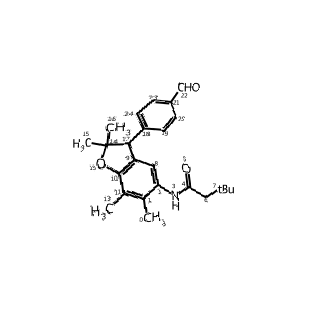 Cc1c(NC(=O)CC(C)(C)C)cc2c(c1C)OC(C)(C)C2c1ccc(C=O)cc1